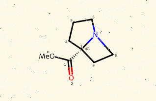 COC(=O)[C@]12CCCN1CC2